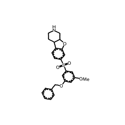 COc1cc(OCc2ccccc2)cc(S(=O)(=O)c2ccc3c(c2)OC2CNCCC32)c1